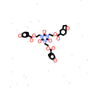 O=C(OCCn1c(=O)n(CCOC(=O)C2CC3CC2C2OC32)c(=O)n(CCOC(=O)C2CC3CC2C2OC32)c1=O)C1CC2CC3OC2C3C1